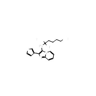 CCCCCC(C)(C)Nc1c(-c2ccoc2)nc2ccccn12